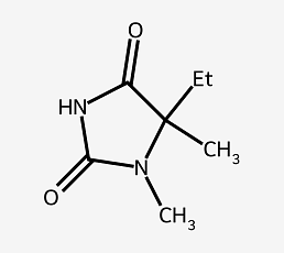 CCC1(C)C(=O)NC(=O)N1C